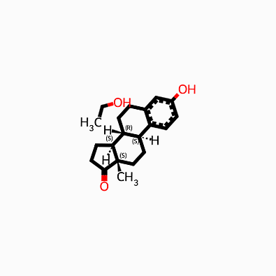 CCO.C[C@]12CC[C@@H]3c4ccc(O)cc4CC[C@H]3[C@@H]1CCC2=O